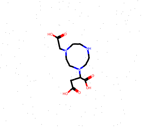 O=C(O)CC(C(=O)O)N1CCNCCN(CC(=O)O)CC1